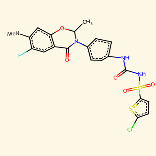 CNc1cc2c(cc1F)C(=O)N(c1ccc(NC(=O)NS(=O)(=O)c3ccc(Cl)s3)cc1)C(C)O2